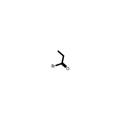 CCC(=O)Br